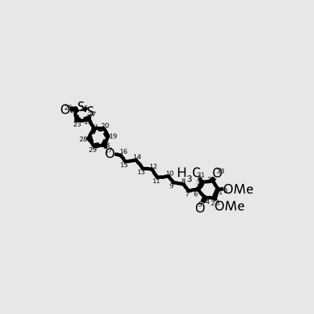 COC1=C(OC)C(=O)C(CCCCCCCCCCOc2ccc(-c3cc(=O)ss3)cc2)=C(C)C1=O